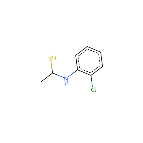 CC(S)Nc1ccccc1Cl